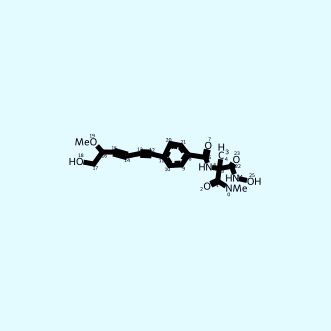 CNC(=O)C(C)(NC(=O)c1ccc(C#CC#CC(CO)OC)cc1)C(=O)NO